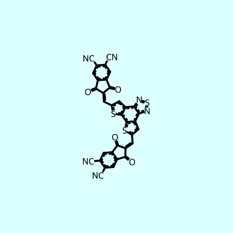 N#Cc1cc2c(cc1C#N)C(=O)C(=Cc1cc3c4nsnc4c4cc(C=C5C(=O)c6cc(C#N)c(C#N)cc6C5=O)sc4c3s1)C2=O